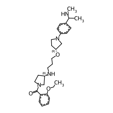 CCOc1ccccc1C(=O)N1CC[C@@H](NCCCO[C@@H]2CCN(c3ccc(C(C)NC)cc3)C2)C1